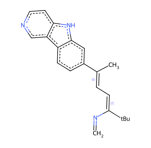 C=N/C(=C\C=C(/C)c1ccc2c(c1)[nH]c1ccncc12)C(C)(C)C